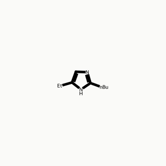 CCCCc1ncc(CC)[nH]1